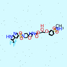 CNS(=O)(=O)c1cccc(OCC(O)COC(=O)N[C@H]2COC3(CCN(S(=O)(=O)c4cnc5[nH]cc(C(F)(F)F)c5c4)CC3)C2)c1